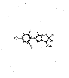 COC1c2cn(-c3c(Cl)cc(C(F)(F)F)cc3Cl)nc2CC1(F)F